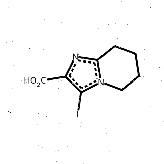 O=C(O)c1nc2n(c1I)CCCC2